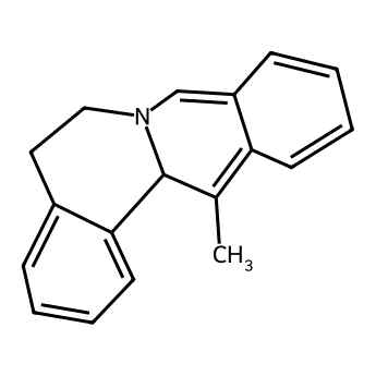 CC1=c2ccccc2=CN2CCc3ccccc3C12